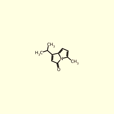 Cc1ccc2n1C(=O)C=C2C(C)C